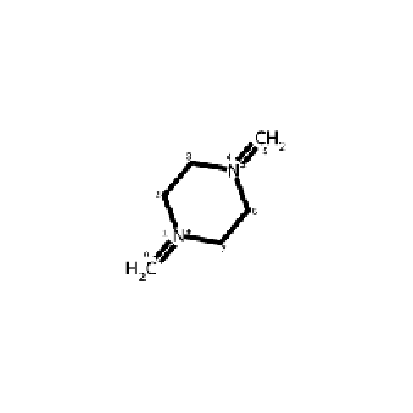 C=[N+]1CC[N+](=C)CC1